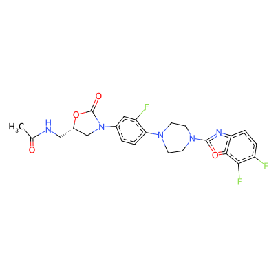 CC(=O)NC[C@H]1CN(c2ccc(N3CCN(c4nc5ccc(F)c(F)c5o4)CC3)c(F)c2)C(=O)O1